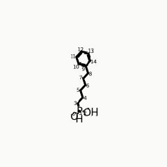 O=[PH](O)CCCCCCc1ccccc1